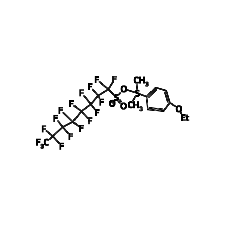 CCOc1ccc(S(C)(C)OS(=O)(=O)C(F)(F)C(F)(F)C(F)(F)C(F)(F)C(F)(F)C(F)(F)C(F)(F)C(F)(F)F)cc1